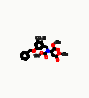 CC(C)(C)OC(=O)CC(C(=O)OC(C)(C)C)N(Cc1cc(OCc2ccccc2)cc(C(=O)O)c1)C(=O)OC(C)(C)C